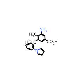 Cc1c(N)cc(C(=O)O)cc1C(=O)O.c1ccc(-n2cccc2)cc1